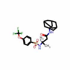 CC(C)(CC(=O)NC12CC3CC(CC(C3)C1)C2)NS(=O)(=O)c1ccc(OC(F)(F)F)cc1